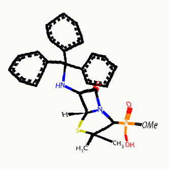 COP(=O)(O)C1N2C(=O)C(NC(c3ccccc3)(c3ccccc3)c3ccccc3)[C@H]2SC1(C)C